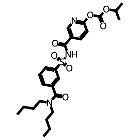 CCCCN(CCCC)C(=O)c1cccc(S(=O)(=O)NC(=O)c2ccc(OC(=O)OC(C)C)nc2)c1